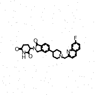 O=C1CCC(N2Cc3cc(C4CCN(Cc5ccc6ccc(F)cc6n5)CC4)ccc3C2=O)C(=O)N1